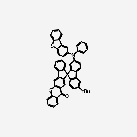 CC(C)(C)c1ccc2c(c1)-c1ccc(N(c3ccccc3)c3ccc4sc5ccccc5c4c3)cc1C21c2ccccc2-c2cc3sc4ccccc4c(=O)c3cc21